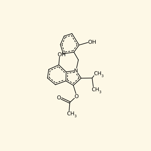 CC(=O)Oc1c(C(C)C)n(Cc2ccccc2O)c2c(O)cccc12